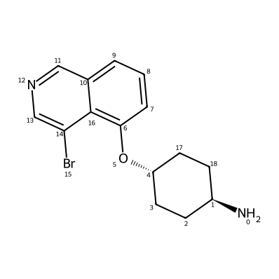 N[C@H]1CC[C@H](Oc2cccc3cncc(Br)c23)CC1